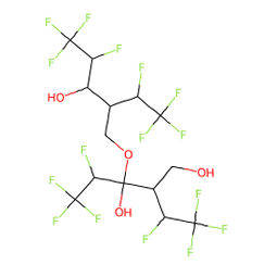 OCC(C(F)C(F)(F)F)C(O)(OCC(C(O)C(F)C(F)(F)F)C(F)C(F)(F)F)C(F)C(F)(F)F